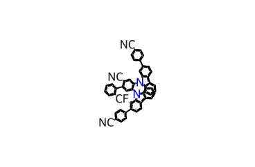 N#Cc1ccc(-c2ccc3c4ccccc4n(-c4cc(C#N)c(-c5ccccc5C(F)(F)F)cc4-n4c5ccccc5c5ccc(-c6ccc(C#N)cc6)cc54)c3c2)cc1